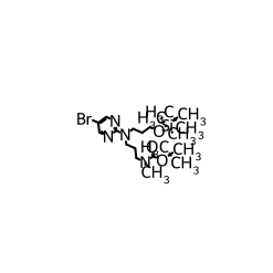 CN(CCCN(CCCO[Si](C)(C)C(C)(C)C)c1ncc(Br)cn1)C(=O)OC(C)(C)C